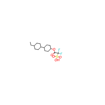 CCC1CCC(C2CCC(OC(=O)C(F)(F)S(=O)(=O)O)CC2)CC1